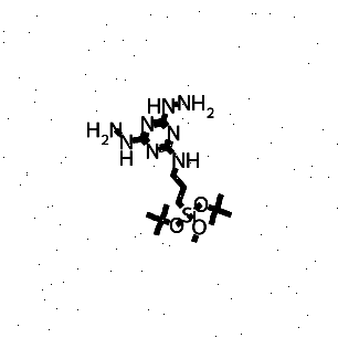 CO[Si](CCCNc1nc(NN)nc(NN)n1)(OC(C)(C)C)OC(C)(C)C